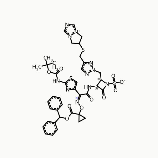 CC(C)(C)OC(=O)Nc1nc(/C(=N/OC2(C(=O)OC(c3ccccc3)c3ccccc3)CC2)C(=O)N[C@@H]2C(=O)N(S(=O)(=O)[O-])[C@@H]2Cn2ncc(CSC3Cn4cnc[n+]4C3)n2)cs1